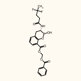 CC(F)(F)CCC(=O)N[C@H]1Cc2cccc(C(=O)OCOC(=O)c3ccccc3)c2OB1O